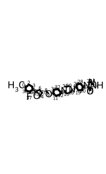 Cc1ccc([C@H]2C[C@H](COc3ccc(N4CCN(c5ccc(-n6cn[nH]c6=O)cc5)CC4)cc3)CO2)c(F)c1